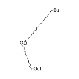 CCCCCCCCC=CCCCCCCCCCC(=O)OCCCCCCCCCCCCCCCCCCCC(C)CC